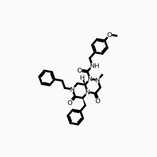 COc1ccc(CNC(=O)N2[C@H]3CN(CCc4ccccc4)C(=O)[C@H](Cc4ccccc4)N3C(=O)CN2C)cc1